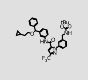 CC(C)(C)OC(=O)NCc1cccc(-n2nc(C(F)(F)F)cc2C(=O)Nc2cccc(C(OCCC3CC3)c3ccccc3)c2)c1